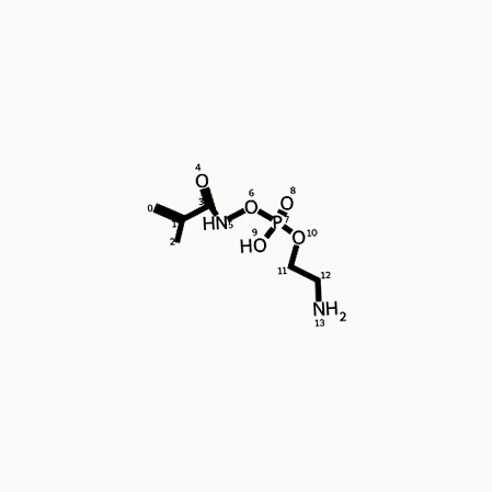 C=C(C)C(=O)NOP(=O)(O)OCCN